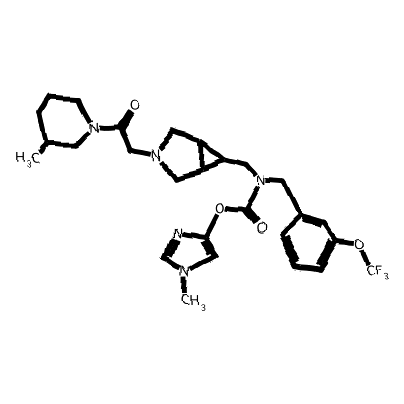 CC1CCCN(C(=O)CN2CC3C(C2)C3CN(Cc2cccc(OC(F)(F)F)c2)C(=O)Oc2cn(C)cn2)C1